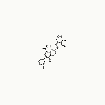 CCN(C=O)/C(CO)=N\N(C)c1ccc2c(=O)n(-c3cccc(F)c3)cc(C(C)O)c2c1